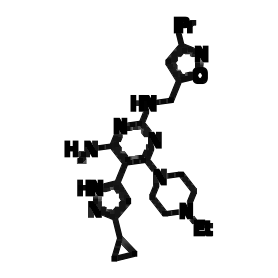 CCN1CCN(c2nc(NCc3cc(C(C)C)no3)nc(N)c2-c2cc(C3CC3)n[nH]2)CC1